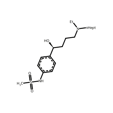 CCCCCCCN(CC)CCC[C@H](O)c1ccc(NS(C)(=O)=O)cc1